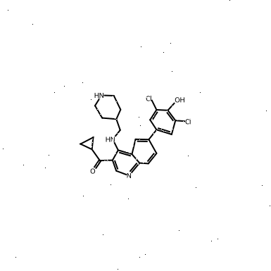 O=C(c1cnc2ccc(-c3cc(Cl)c(O)c(Cl)c3)cc2c1NCC1CCNCC1)C1CC1